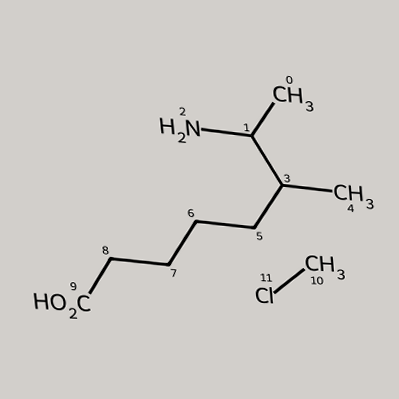 CC(N)C(C)CCCCC(=O)O.CCl